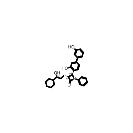 O=C1[C@H](CC[C@H](O)C2CCCCC2)[C@@H](c2ccc(-c3cccc(O)c3)cc2O)N1c1ccccc1